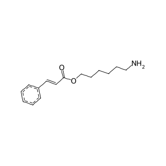 NCCCCCCOC(=O)C=Cc1ccccc1